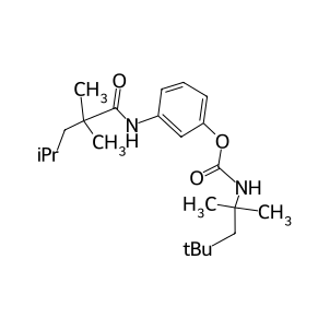 CC(C)CC(C)(C)C(=O)Nc1cccc(OC(=O)NC(C)(C)CC(C)(C)C)c1